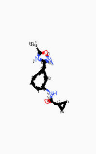 CC(C)(C)c1nc(-c2cccc(NC(=O)C3CC3)c2)no1